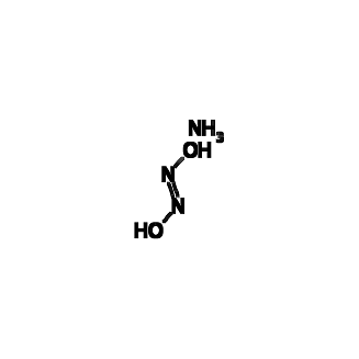 N.ON=NO